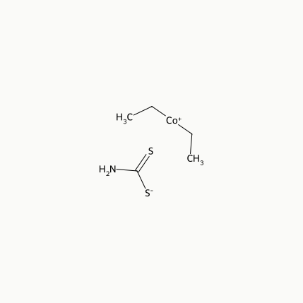 C[CH2][Co+][CH2]C.NC(=S)[S-]